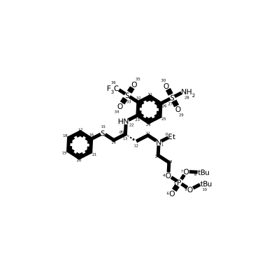 CCN(CCOP(=O)(OC(C)(C)C)OC(C)(C)C)CC[C@H](CSc1ccccc1)Nc1ccc(S(N)(=O)=O)cc1S(=O)(=O)C(F)(F)F